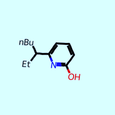 CCCCC(CC)c1cccc(O)n1